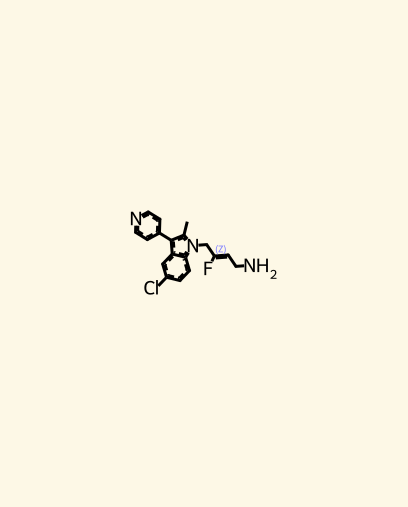 Cc1c(-c2ccncc2)c2cc(Cl)ccc2n1C/C(F)=C/CN